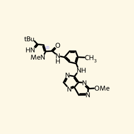 CN/C(=C\C(=N)C(C)(C)C)C(=O)Nc1ccc(C)c(Nc2ncnc3cnc(OC)nc23)c1